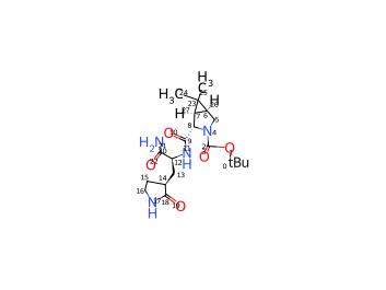 CC(C)(C)OC(=O)N1C[C@H]2[C@@H]([C@H]1C(=O)N[C@@H](C[C@@H]1CCNC1=O)C(N)=O)C2(C)C